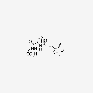 NC(CCC(=O)NC(CS)C(=O)NCC(=O)O)C(O)=S